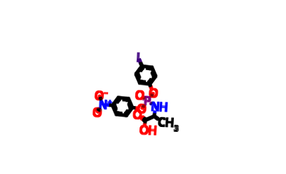 CC(NP(=O)(Oc1ccc(I)cc1)Oc1ccc([N+](=O)[O-])cc1)C(=O)O